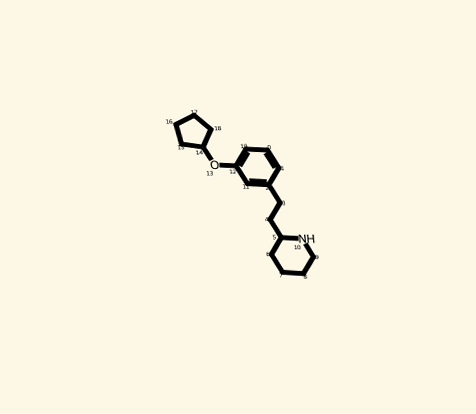 c1cc(CCC2CCCCN2)cc(OC2CCCC2)c1